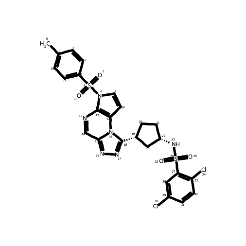 Cc1ccc(S(=O)(=O)n2ccc3c2ncc2nnc([C@@H]4CC[C@H](NS(=O)(=O)c5cc(Cl)ccc5Cl)C4)n23)cc1